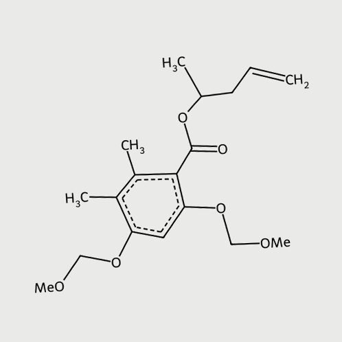 C=CCC(C)OC(=O)c1c(OCOC)cc(OCOC)c(C)c1C